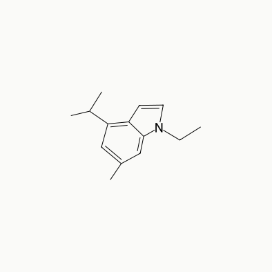 CCn1ccc2c(C(C)C)cc(C)cc21